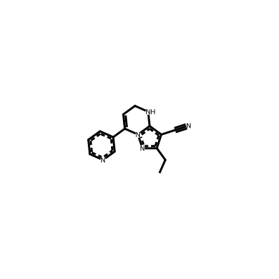 CCc1nn2c(c1C#N)NCC=C2c1cccnc1